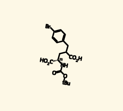 CC(C)(C)OC(=O)N[C@@H](CC(Cc1ccc(Br)cc1)C(=O)O)C(=O)O